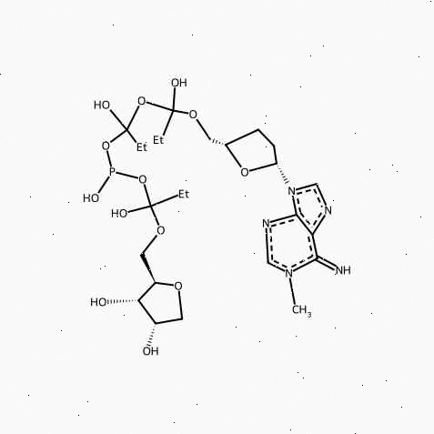 CCC(O)(OC[C@H]1OC[C@H](O)[C@@H]1O)OP(O)OC(O)(CC)OC(O)(CC)OC[C@@H]1CC[C@H](n2cnc3c(=N)n(C)cnc32)O1